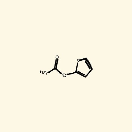 CCCC(=O)Oc1cccs1